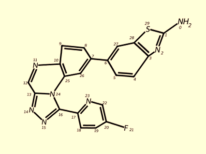 Nc1nc2ccc(-c3ccc4ncc5nnc(-c6ccc(F)cn6)n5c4c3)cc2s1